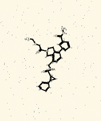 CCOCC(=O)N1CCc2c(-c3cccc(C(=O)OC)c3)ccc(CNC(=O)C3CC3c3ccccc3)c2C1